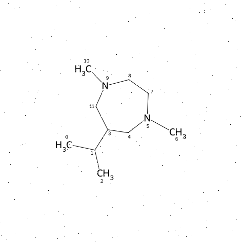 CC(C)C1CN(C)CCN(C)C1